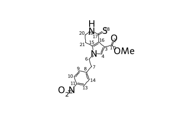 COC(=O)c1cn(CCc2ccc([N+](=O)[O-])cc2)c2c1C(=S)NCC2